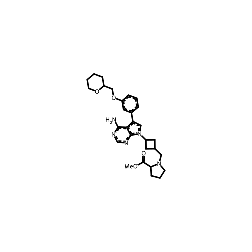 COC(=O)C1CCCN1CC1CC(n2cc(-c3cccc(OCC4CCCCO4)c3)c3c(N)ncnc32)C1